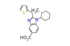 C[C@@H]1CCCCC1n1c(Cc2cccs2)nc2cc(C(=O)O)ccc21